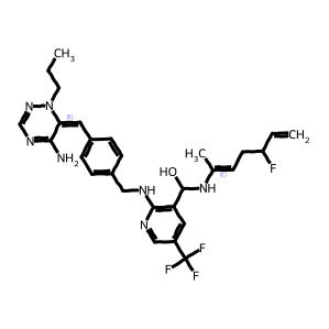 C=CC(F)C/C=C(\C)NC(O)c1cc(C(F)(F)F)cnc1NCc1ccc(/C=C2\C(N)=NC=NN2CCC)cc1